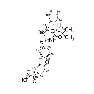 CC(C)(C)OC(=O)NC(Cc1ccc(Oc2ccc(C(=O)NO)cc2)cc1)C(=O)OCc1ccccc1